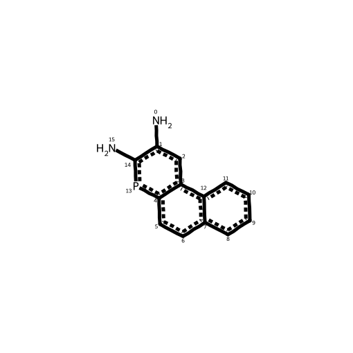 Nc1cc2c(ccc3ccccc32)pc1N